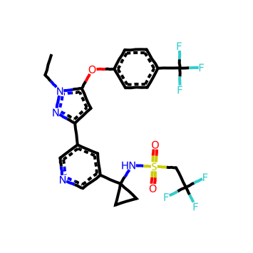 CCn1nc(-c2cncc(C3(NS(=O)(=O)CC(F)(F)F)CC3)c2)cc1Oc1ccc(C(F)(F)F)cc1